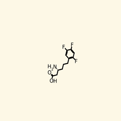 N[C@H](CCCc1cc(F)c(F)cc1F)CC(=O)O